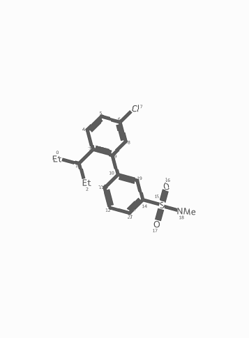 CCC(CC)c1ccc(Cl)cc1-c1cccc(S(=O)(=O)NC)c1